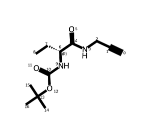 C#CCNC(=O)[C@@H](CC)NC(=O)OC(C)(C)C